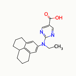 CCN(c1cc2c3c(c1)CCCC3CCC2)c1ncc(C(=O)O)cn1